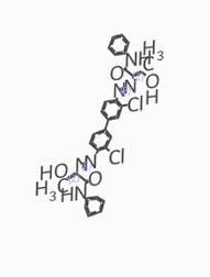 C/C(O)=C(/N=N/c1ccc(-c2ccc(/N=N/C(C(=O)Nc3ccccc3)=C(/C)O)c(Cl)c2)cc1Cl)C(=O)Nc1ccccc1